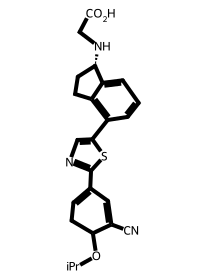 CC(C)OC1CC=C(c2ncc(-c3cccc4c3CC[C@@H]4NCC(=O)O)s2)C=C1C#N